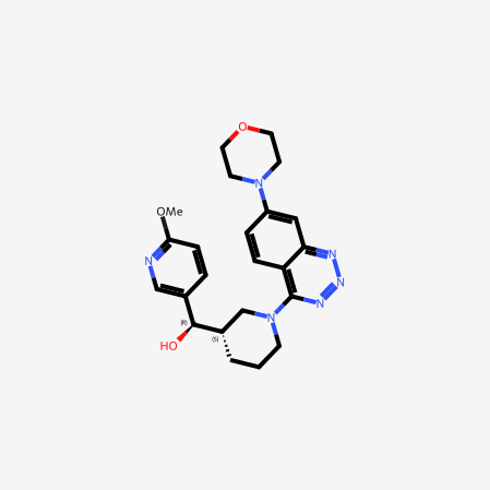 COc1ccc([C@H](O)[C@H]2CCCN(c3nnnc4cc(N5CCOCC5)ccc34)C2)cn1